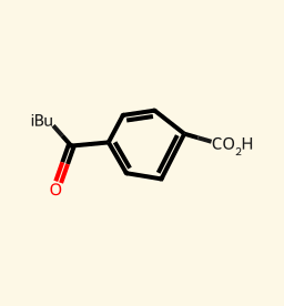 CCC(C)C(=O)c1ccc(C(=O)O)cc1